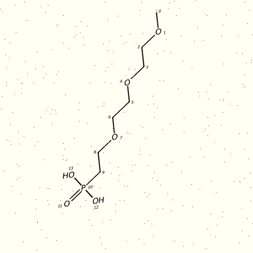 [CH2]OCCOCCOCCP(=O)(O)O